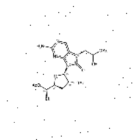 CC[C@@H](OC(C)=O)[C@@H]1C[C@@H](OC(C)=O)[C@H](n2c(=O)n(CC(C)OC(C)=O)c3cnc(N)nc32)O1